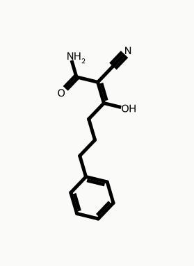 N#CC(C(N)=O)=C(O)CCCc1ccccc1